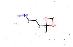 C=NCCCC1(C)OCO1